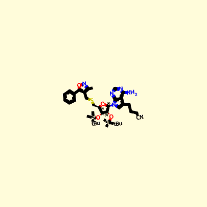 Cc1noc(-c2ccccc2)c1CSC[C@H]1O[C@@H](n2cc(CCCC#N)c3c(N)ncnc32)[C@H](O[Si](C)(C)C(C)(C)C)[C@@H]1O[Si](C)(C)C(C)(C)C